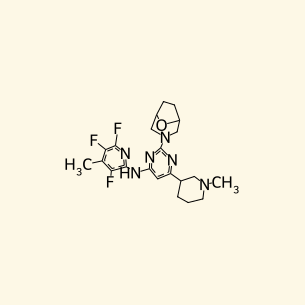 Cc1c(F)c(F)nc(Nc2cc(C3CCCN(C)C3)nc(N3CC4CCC(C3)O4)n2)c1F